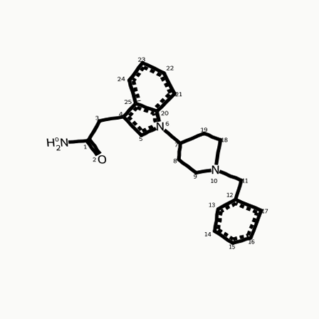 NC(=O)Cc1cn(C2CCN(Cc3ccccc3)CC2)c2ccccc12